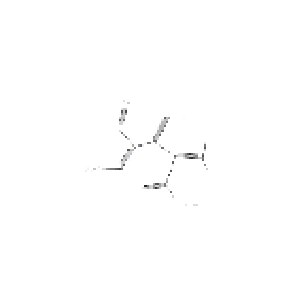 C=C(C(C(=O)OC)=C(C)C)/C(C=N)=C/NC